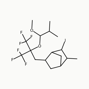 COC(OC(CC1CC2CC1C(I)C2C)(C(F)(F)F)C(F)(F)F)C(C)C